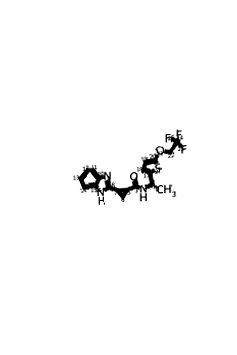 C[C@@H](NC(=O)C1CC1c1nc2ccccc2[nH]1)c1ccc(OCC(F)(F)F)s1